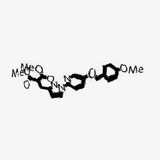 COC(=O)C(Cc1ccn(-c2ccc(OCc3ccc(OC)cc3)cn2)n1)C(=O)OC